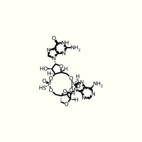 Nc1nc2c(ncn2[C@@H]2O[C@@H]3CO[P@](=O)(S)O[C@H]4[C@H]5OC[C@]4(CO[P@](=O)(S)O[C@H]3[C@H]2O)O[C@H]5n2cnc3c(N)ncnc32)c(=O)[nH]1